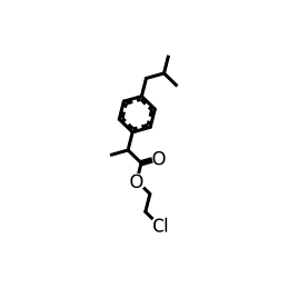 CC(C)Cc1ccc(C(C)C(=O)OCCCl)cc1